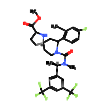 COC(=O)C1CC[C@]2(CCN(C(=O)N(C)[C@H](C)c3cc(C(F)(F)F)cc(C(F)(F)F)c3)C(c3ccc(F)cc3C)C2)N1